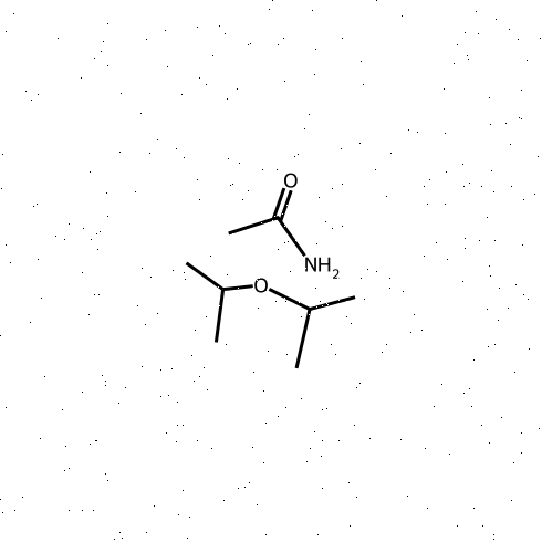 CC(C)OC(C)C.CC(N)=O